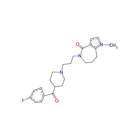 Cn1ccc2c1CCCN(CCCN1CCC(C(=O)c3ccc(F)cc3)CC1)C2=O